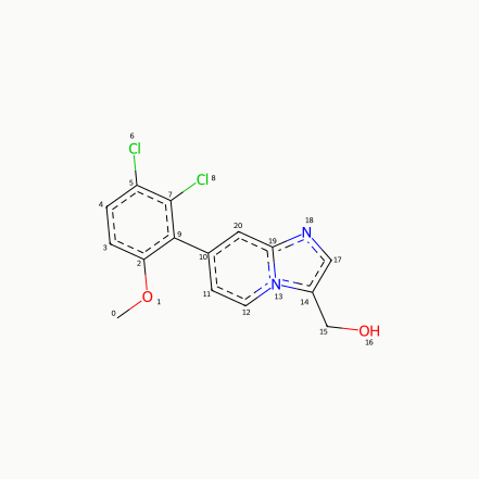 COc1ccc(Cl)c(Cl)c1-c1ccn2c(CO)cnc2c1